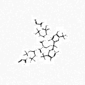 C=CC(=O)N1C(C)(C)CC(OC(=O)C(CCC(C)(c2cc(C(C)(C)C)c(O)cc2C)c2cc(C(C)(C)C)c(O)cc2C)C(=O)OC2CC(C)(C)N(C(=O)C=C)C(C)(C)C2)CC1(C)C